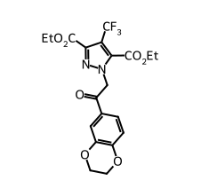 CCOC(=O)c1nn(CC(=O)c2ccc3c(c2)OCCO3)c(C(=O)OCC)c1C(F)(F)F